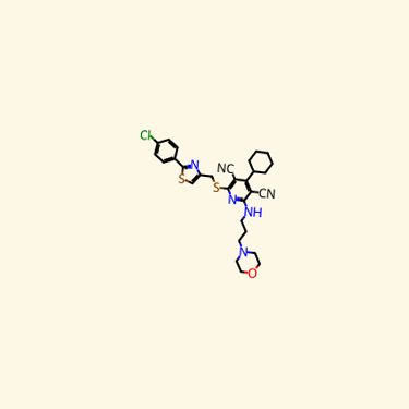 N#Cc1c(NCCCN2CCOCC2)nc(SCc2csc(-c3ccc(Cl)cc3)n2)c(C#N)c1C1CCCCC1